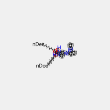 CCCCCCCCCCCCCCCCCCOC(=O)C1(C(=O)OCCCCCCCCCCCCCCCCCC)Nc2cccc3c(/N=N/c4ccc5ccccc5c4/N=N/c4ccccc4)ccc(c23)N1